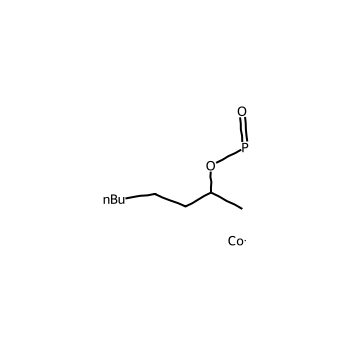 CCCCCCC(C)OP=O.[Co]